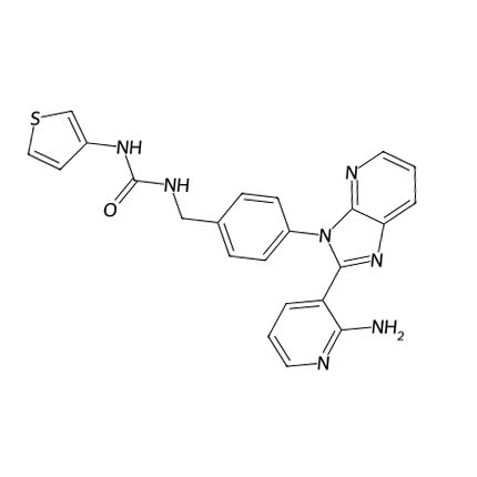 Nc1ncccc1-c1nc2cccnc2n1-c1ccc(CNC(=O)Nc2ccsc2)cc1